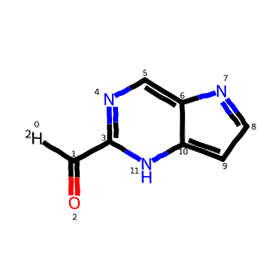 [2H]C(=O)c1ncc2nccc-2[nH]1